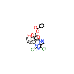 CC(=O)O[C@H]1[C@H](n2ncc3c(Cl)nc(Cl)nc32)O[C@H](COC(=O)c2ccccc2)[C@]1(O)C(F)(F)F